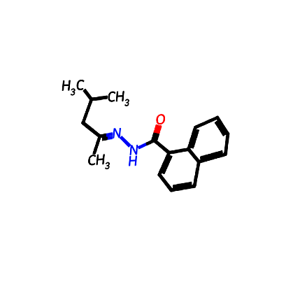 C/C(CC(C)C)=N\NC(=O)c1cccc2ccccc12